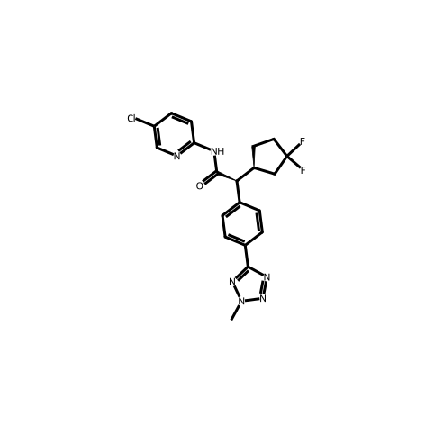 Cn1nnc(-c2ccc([C@@H](C(=O)Nc3ccc(Cl)cn3)[C@H]3CCC(F)(F)C3)cc2)n1